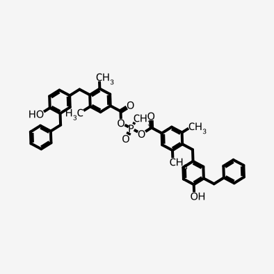 Cc1cc(C(=O)OP(C)(=O)OC(=O)c2cc(C)c(Cc3ccc(O)c(Cc4ccccc4)c3)c(C)c2)cc(C)c1Cc1ccc(O)c(Cc2ccccc2)c1